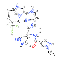 Cn1cc(C(=O)N2CCN(c3ccnc(-c4cnc5ccc(C(F)(F)F)cn45)n3)CC2c2cn[nH]c2)cn1